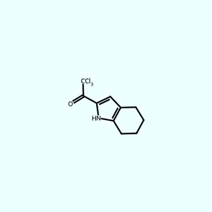 O=C(c1cc2c([nH]1)CCCC2)C(Cl)(Cl)Cl